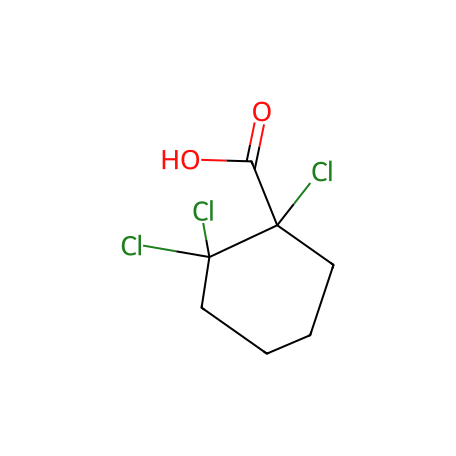 O=C(O)C1(Cl)CCCCC1(Cl)Cl